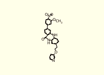 COc1cc(-c2ccc3c(c2)Nc2ccc(CCOc4cccnc4)cc2NC3=O)ccc1[N+](=O)[O-]